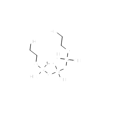 C[Si](C)(OCCS)O[Si](C)(C)O[Si](C)(C)OCCS